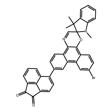 CN1c2ccccc2C(C)(C)C12C=Nc1c(c3ccc(Br)cc3c3cc(-c4ccc5c6c(cccc46)C(=O)C5=O)ccc13)O2